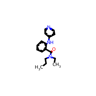 CCCN(CC)C(=O)c1ccccc1Nc1ccncc1